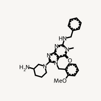 COc1ccccc1Cn1c(N2CCCC(N)C2)nc2nc(NCc3ccccc3)n(C)c(=O)c21